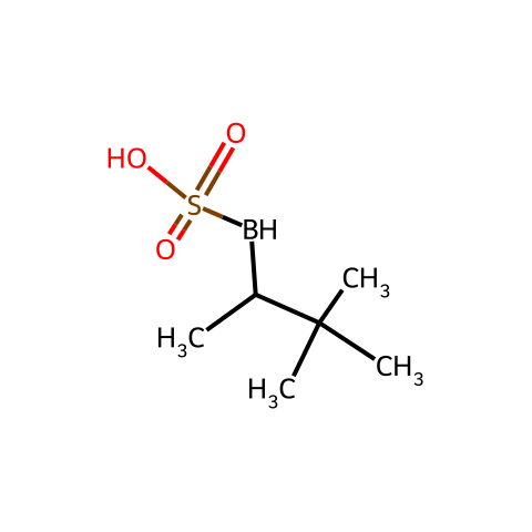 CC(BS(=O)(=O)O)C(C)(C)C